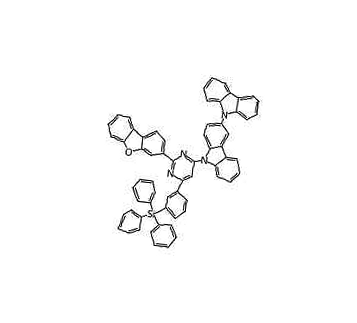 c1ccc([Si](c2ccccc2)(c2ccccc2)c2cccc(-c3cc(-n4c5ccccc5c5cc(-n6c7ccccc7c7ccccc76)ccc54)nc(-c4ccc5c(c4)oc4ccccc45)n3)c2)cc1